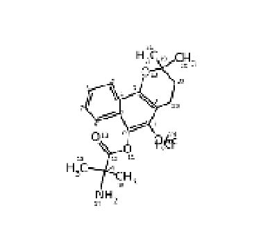 CC(=O)Oc1c2c(c3ccccc3c1OC(=O)C(C)(C)N)OC(C)(C)CC2.Cl